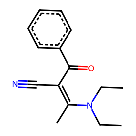 CCN(CC)C(C)=C(C#N)C(=O)c1ccccc1